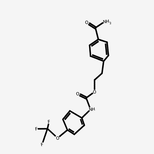 NC(=O)c1ccc(CCOC(=O)Nc2ccc(OC(F)(F)F)cc2)cc1